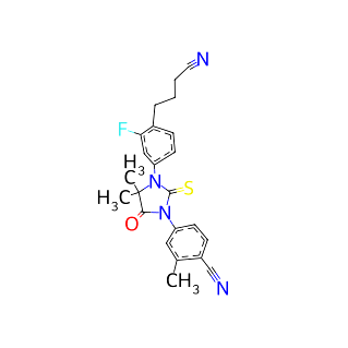 Cc1cc(N2C(=O)C(C)(C)N(c3ccc(CCCC#N)c(F)c3)C2=S)ccc1C#N